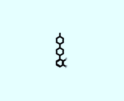 CC1CCC(C2CCC(c3cccc(F)c3F)CC2)CC1